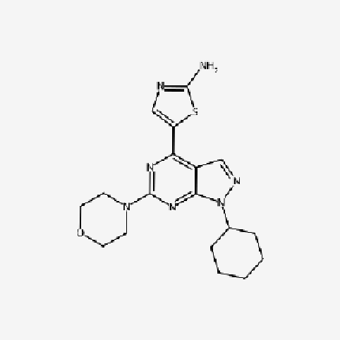 Nc1ncc(-c2nc(N3CCOCC3)nc3c2cnn3C2CCCCC2)s1